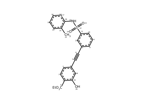 CCOC(=O)c1ccc(C#Cc2cccc(S(=O)(=O)Nc3ncccc3C)c2)cc1O